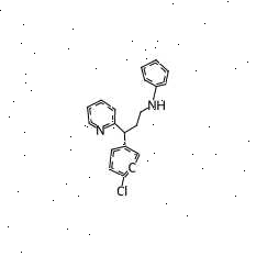 Clc1ccc(C(CCNc2ccccc2)c2ccccn2)cc1